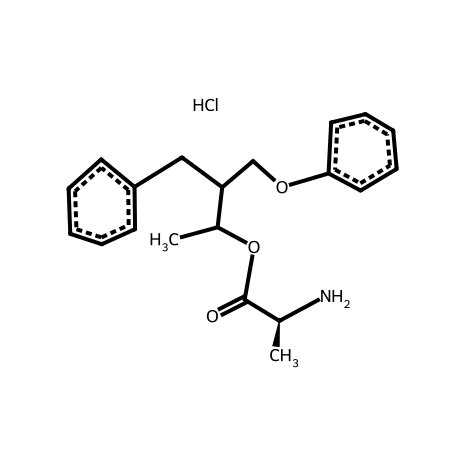 CC(OC(=O)[C@H](C)N)C(COc1ccccc1)Cc1ccccc1.Cl